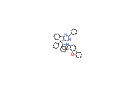 c1ccc(-c2nc3c(c(-n4c5ccccc5c5c6oc7ccccc7c6ccc54)n2)[Si](c2ccccc2)(c2ccccc2)c2ccccc2-3)cc1